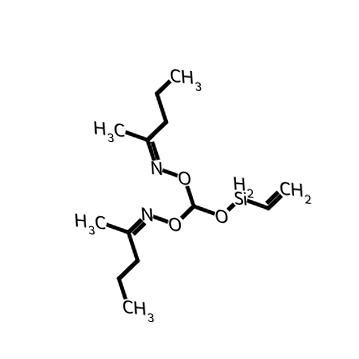 C=C[SiH2]OC(ON=C(C)CCC)ON=C(C)CCC